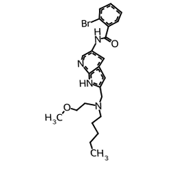 CCCCCN(CCOC)Cc1cc2cc(NC(=O)c3ccccc3Br)cnc2[nH]1